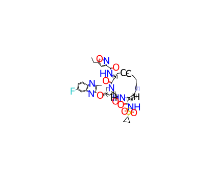 CCc1cc(C(=O)N[C@H]2CCCCC/C=C\[C@@H]3C[C@@]3(C(=O)NS(=O)(=O)C3CC3)NC(=O)[C@@H]3C[C@@H](Oc4nc5cc(F)ccc5nc4C)CN3C2=O)no1